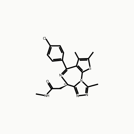 CNC(=O)C[C@H]1N=C(c2ccc(Cl)cc2)c2c(sc(C)c2C)-n2c(C)nnc21